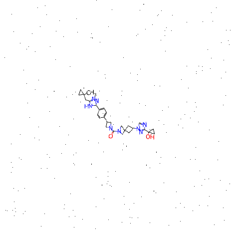 CC1(Cc2nnc(-c3ccc(C4CN(C(=O)N5CC6(CC(n7cnc(C8(O)CC8)n7)C6)C5)C4)cc3)[nH]2)CC1